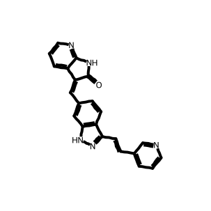 O=C1Nc2ncccc2C1=Cc1ccc2c(C=Cc3cccnc3)n[nH]c2c1